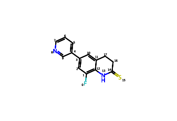 Fc1cc(-c2cccnc2)cc2c1NC(=S)CC2